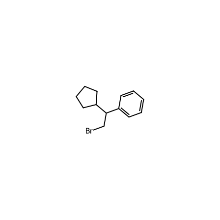 BrCC(c1ccccc1)C1CCCC1